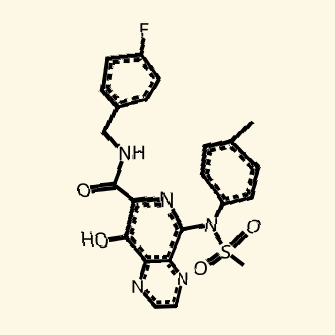 Cc1ccc(N(c2nc(C(=O)NCc3ccc(F)cc3)c(O)c3nccnc23)S(C)(=O)=O)cc1